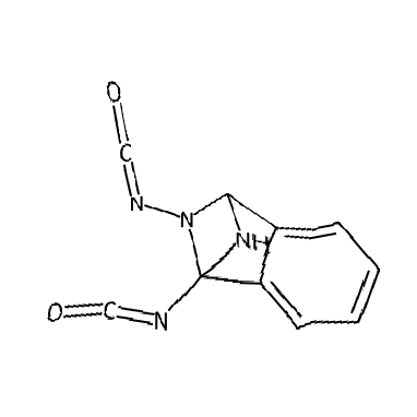 O=C=NN1C2NC1(N=C=O)c1ccccc12